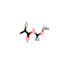 CCCCOC(CC)OC(=O)C(C)Cl